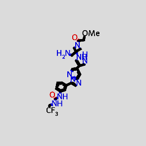 COCC(=O)N1CC(CN)(N/C=C(\C=N)c2cnn3c(-c4cccc(NC(=O)NCC(F)(F)F)c4)cnc3c2)C1